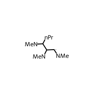 CCCC(NC)C([CH]NC)NC